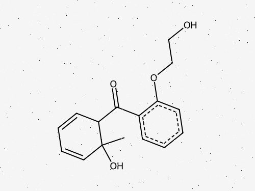 CC1(O)C=CC=CC1C(=O)c1ccccc1OCCO